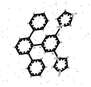 c1ccc(-c2cccc(-c3ccccc3)c2-c2cc(-[n+]3ccsc3)cc(-[n+]3ccsc3)c2)cc1